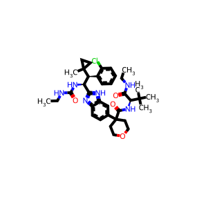 CCNC(=O)N[C@H](c1nc2ccc(C3(C(=O)N[C@@H](C(=O)NCC)C(C)(C)C)CCOCC3)cc2[nH]1)[C@H](c1ccccc1Cl)C1(C)CC1